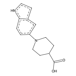 O=C(O)C1CCN(c2ccc3[nH]ccc3c2)CC1